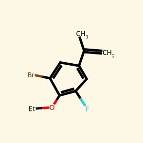 C=C(C)c1cc(F)c(OCC)c(Br)c1